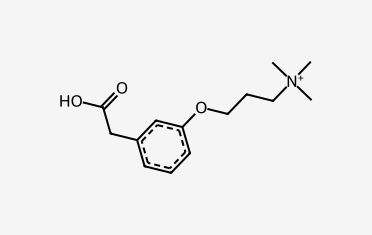 C[N+](C)(C)CCCOc1cccc(CC(=O)O)c1